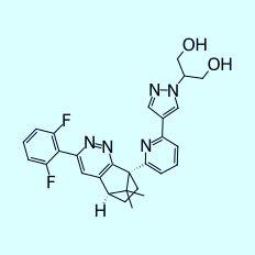 CC1(C)[C@H]2CC[C@]1(c1cccc(-c3cnn(C(CO)CO)c3)n1)c1nnc(-c3c(F)cccc3F)cc12